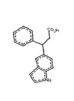 O=C(O)CC(c1ccccc1)c1ccc2[nH]ccc2c1